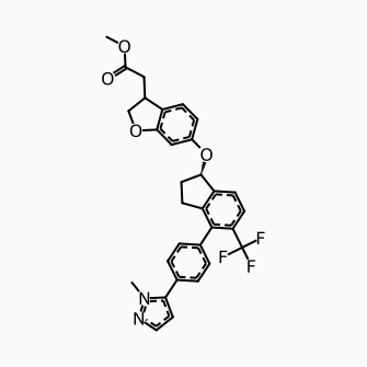 COC(=O)CC1COc2cc(O[C@@H]3CCc4c3ccc(C(F)(F)F)c4-c3ccc(-c4ccnn4C)cc3)ccc21